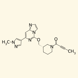 CC#CC(=O)N1CCC[C@H](COc2nc(-c3cnn(C)c3)cc3nccn23)C1